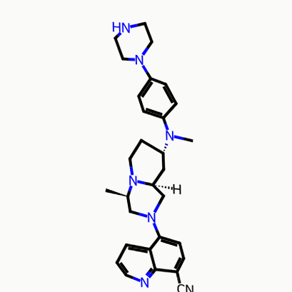 C[C@@H]1CN(c2ccc(C#N)c3ncccc23)C[C@@H]2C[C@@H](N(C)c3ccc(N4CCNCC4)cc3)CCN21